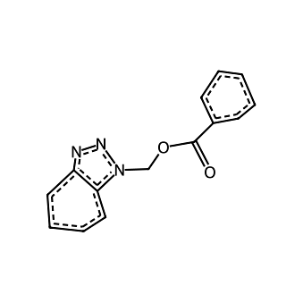 O=C(OCn1nnc2ccccc21)c1ccccc1